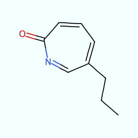 CCCc1cccc(=O)nc1